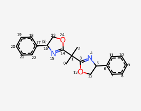 CC(C)(C1=NC(c2ccccc2)CO1)C1=N[C@@H](c2ccccc2)CO1